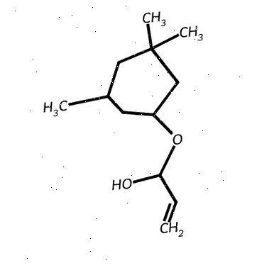 C=CC(O)OC1CC(C)CC(C)(C)C1